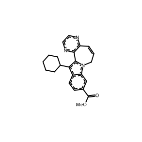 COC(=O)c1ccc2c(C3CCCCC3)c3n(c2c1)CC=Cc1nccnc1-3